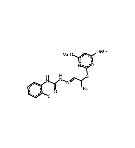 COc1cc(OC)nc(SC(C=NNC(=O)Nc2ccccc2Cl)C(C)(C)C)n1